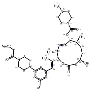 COCC(=O)N1CCN(c2cc(F)cc(/C=C(\C)[C@H]3OC(=O)C[C@H](O)CC[C@H](C)[C@@H](OC(=O)N4CCN(C)CC4)/C=C/[C@@H]3C)c2)CC1